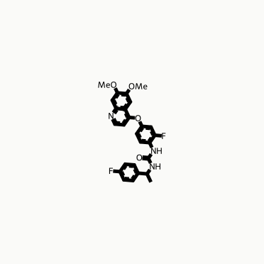 COc1cc2nccc(Oc3ccc(NC(=O)NC(C)c4ccc(F)cc4)c(F)c3)c2cc1OC